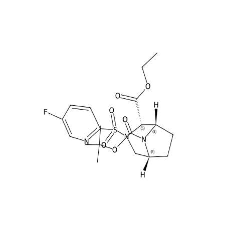 CCOC(=O)[C@@H]1[C@@H]2CC[C@H](CN1S(=O)(=O)c1ccc(F)cn1)N2C(=O)OC(C)(C)C